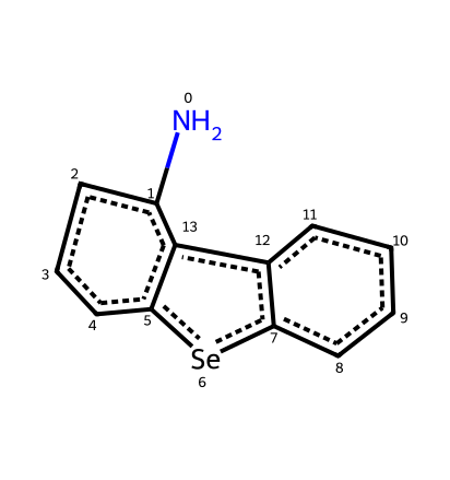 Nc1cccc2[se]c3ccccc3c12